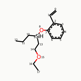 C=Cc1ccccc1O[SiH](CCC)CCOCC